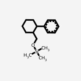 C[Si](C)(C)OCC1CCCCC1c1ccccc1